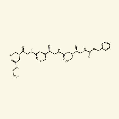 CC(C)CN(CC(=O)NCC(=O)O)C(=O)CNC(=O)CN(CC(C)C)C(=O)CNC(=O)CN(CC(C)C)C(=O)CNC(=O)OCc1ccccc1